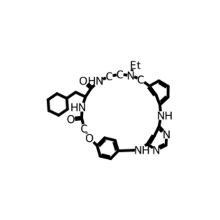 CCN1CCNC(=O)C(CC2CCCCC2)NC(=O)COc2ccc(cc2)Nc2cc(ncn2)Nc2cccc(c2)C1